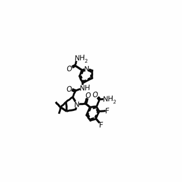 CC1(C)C2CN(C(=O)c3ccc(F)c(F)c3C(N)=O)C(C(=O)Nc3ccnc(C(N)=O)c3)C21